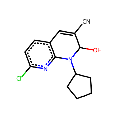 N#CC1=Cc2ccc(Cl)nc2N(C2CCCC2)C1O